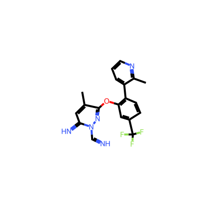 Cc1cc(=N)n(C=N)nc1Oc1cc(C(F)(F)F)ccc1-c1cccnc1C